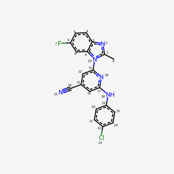 Cc1nc2ccc(F)cc2n1-c1cc(C#N)cc(Nc2ccc(Cl)cc2)n1